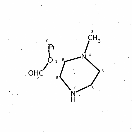 CC(C)OC=O.CN1CCNCC1